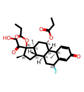 CCC(=O)O[C@H]1C[C@@]2(C)[C@@H](C[C@@H](C)[C@]2(OC(=O)CC)C(=O)CO)[C@@H]2C[C@H](F)C3=CC(=O)C=C[C@]3(C)[C@H]21